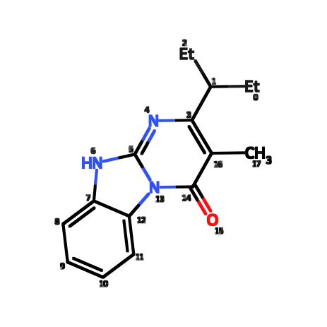 CCC(CC)c1nc2[nH]c3ccccc3n2c(=O)c1C